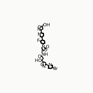 O=C(CC(O)[C@H]1CC(c2ccc(Br)cn2)=NO1)NC[C@H]1CN(c2ccc(-c3ccc(C4=NO[C@@H](CO)C4)nc3)c(F)c2)C(=O)O1